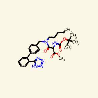 CCCCCN(Cc1ccc(-c2ccccc2-c2nnn[nH]2)cc1)C(=O)C(NC(=O)OC(C)(C)C)C(=O)OC